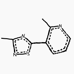 Cc1nsc(-c2cccnc2C)n1